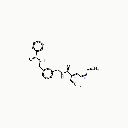 C=C/C=C\C=C(/C=C)C(=O)NCc1cccc(CNC(=O)c2ccccc2)c1